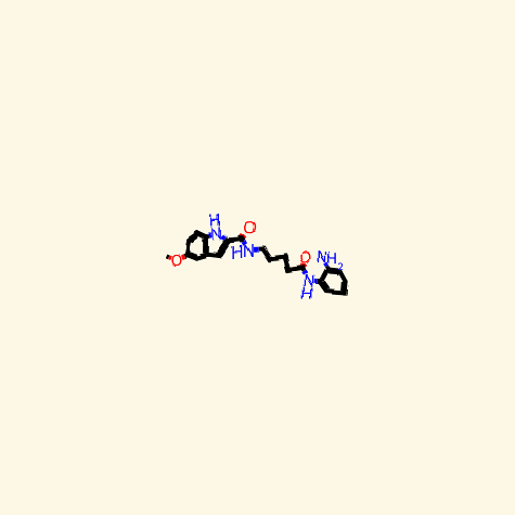 COc1ccc2[nH]c(C(=O)NCCCCC(=O)Nc3ccccc3N)cc2c1